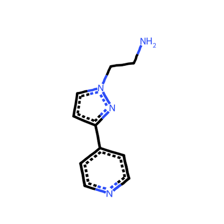 NCCn1ccc(-c2ccncc2)n1